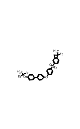 CCC(C)(CC)Oc1ccc(-c2ccc(Oc3ccc(S(=O)(=O)c4ccc5c(c4)CC5(C)CC)cc3)cc2)cc1